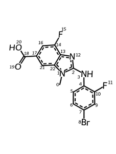 Cn1c(Nc2ccc(Br)cc2F)nc2c(F)cc(C(=O)O)cc21